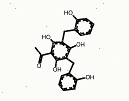 CC(=O)c1c(O)c(Cc2ccccc2O)c(O)c(Cc2ccccc2O)c1O